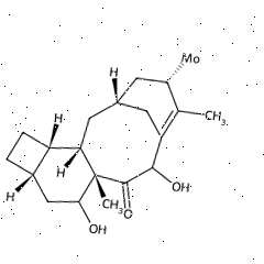 CC1=C2C[C@@H](C[C@@H]1[Mo])C[C@H]1[C@H]3CC[C@H]3CC(O)[C@@]1(C)C(=O)C2O